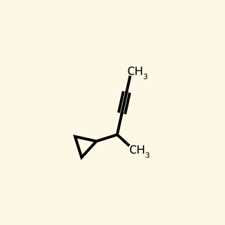 CC#CC(C)C1CC1